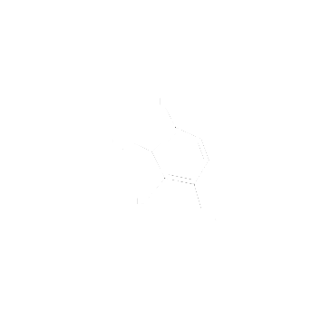 O=C(O)c1c(F)ccc(C(F)(F)F)c1Br